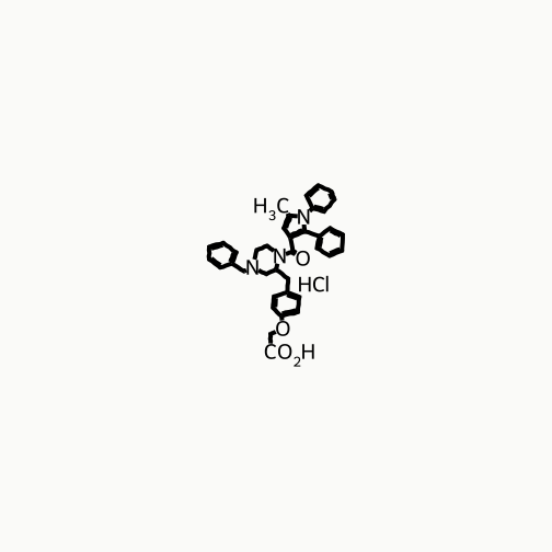 Cc1cc(C(=O)N2CCN(Cc3ccccc3)CC2Cc2ccc(OCC(=O)O)cc2)c(-c2ccccc2)n1-c1ccccc1.Cl